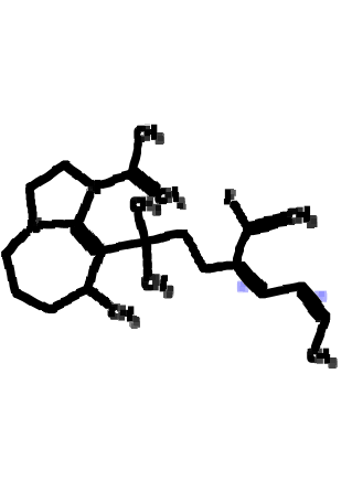 C=C(F)/C(=C\C=C/C)CCC(C)(C)C1=C2N(CCCC1C)CCN2C(=C)C